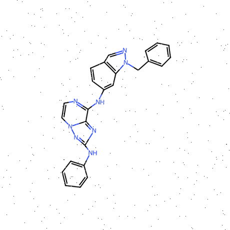 c1ccc(Cn2ncc3ccc(Nc4nccn5nc(Nc6ccccc6)nc45)cc32)cc1